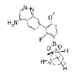 COc1ccc(B2O[C@@H]3C[C@@H]4C[C@@H](C4(C)C)[C@]3(C)O2)c(F)c1-c1ccc2c(N)cnnc2c1